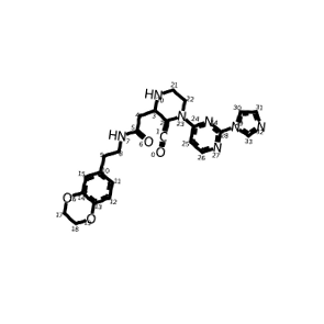 O=C=C1C(CC(=O)NCCc2ccc3c(c2)OCCO3)NCCN1c1ccnc(-n2ccnc2)n1